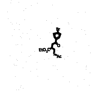 CCOC(=O)C(CSC(C)=O)CC(=O)c1ccc(Br)cc1